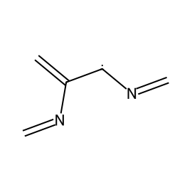 C=N[CH]C(=C)N=C